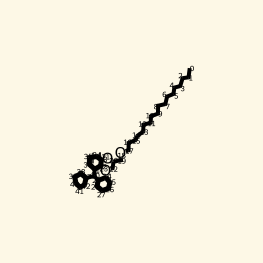 CCCCCCCCCCCCCCCCCCOCC(O)COc1ccccc1C(c1ccccc1)c1ccccc1